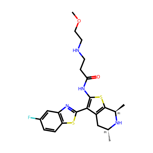 COCCNCCC(=O)Nc1sc2c(c1-c1nc3cc(F)ccc3s1)C[C@@H](C)N[C@@H]2C